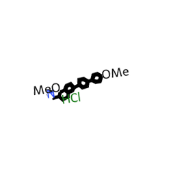 COc1ccc(-c2ccc(-c3ccc4c(c3)CCC(CN(C)C)C4OC)cc2)cc1.Cl